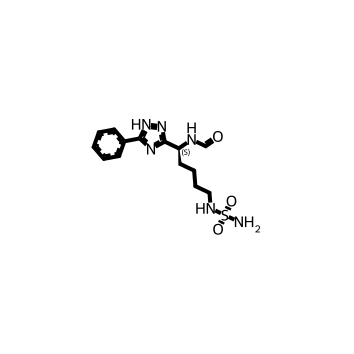 NS(=O)(=O)NCCCC[C@H](NC=O)c1n[nH]c(-c2ccccc2)n1